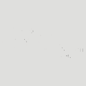 Cc1cn(-c2ccc(/C=C/C(=O)NC3CCc4ccccc43)cc2)cn1